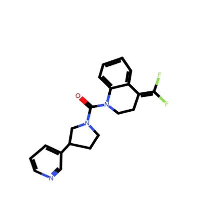 O=C(N1CCC(c2cccnc2)C1)N1CCC(=C(F)F)c2ccccc21